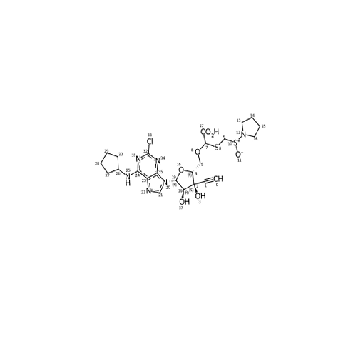 C#C[C@@]1(O)[C@@H](COC(SC[S+]([O-])N2CCCC2)C(=O)O)O[C@@H](n2cnc3c(NC4CCCC4)nc(Cl)nc32)[C@@H]1O